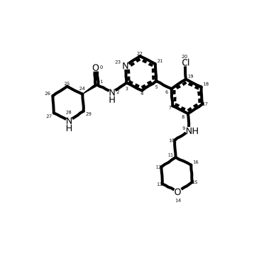 O=C(Nc1cc(-c2cc(NCC3CCOCC3)ccc2Cl)ccn1)[C@@H]1CCCNC1